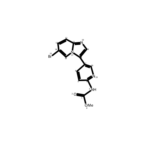 COC(=O)Nc1ccc(-c2cnc3ccc(Br)cn23)cn1